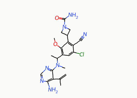 C=C(C)c1c(N)ncnc1N(C)C(C)c1cc(Cl)c(C#N)c(C2CN(C(N)=O)C2)c1OC